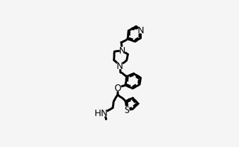 CNCCC(Oc1ccccc1CN1CCN(Cc2ccncc2)CC1)c1cccs1